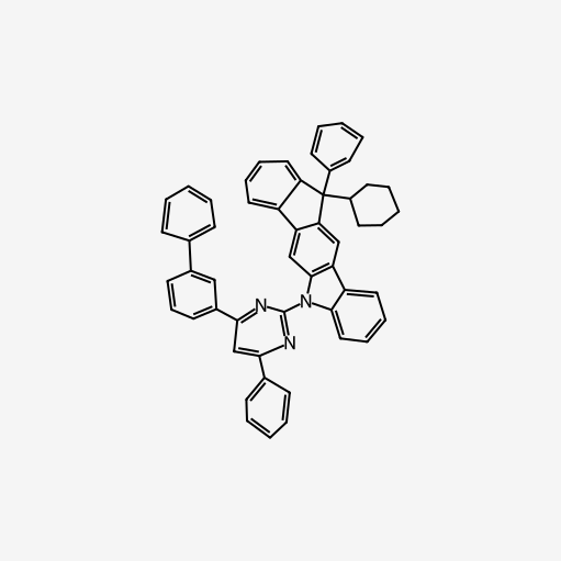 c1ccc(-c2cccc(-c3cc(-c4ccccc4)nc(-n4c5ccccc5c5cc6c(cc54)-c4ccccc4C6(c4ccccc4)C4CCCCC4)n3)c2)cc1